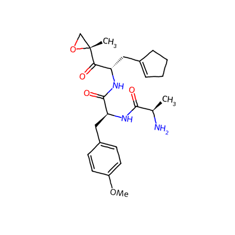 COc1ccc(C[C@H](NC(=O)[C@@H](C)N)C(=O)N[C@@H](CC2=CCCC2)C(=O)[C@@]2(C)CO2)cc1